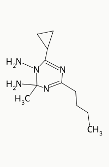 CCCCC1=NC(C)(N)N(N)C(C2CC2)=N1